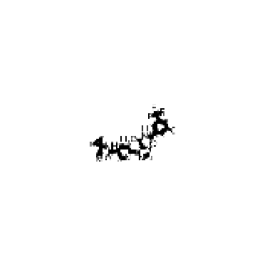 CC(NC(=O)c1cc(Cl)cc(C(F)(F)F)c1)c1ncnn1-c1ccc(C(=O)NC2(C#N)CC2)cn1